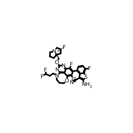 N#Cc1c(N)sc2c(F)ccc(-c3c(Cl)c4c5c(nc(OC[C@@]67CCCN6C[C@H](F)C7)nc5c3F)N(CCC(F)F)CCCO4)c12